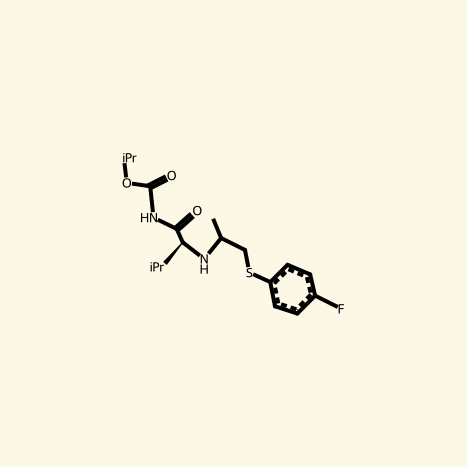 CC(CSc1ccc(F)cc1)N[C@H](C(=O)NC(=O)OC(C)C)C(C)C